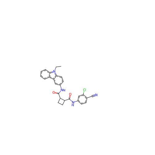 CCn1c2ccccc2c2cc(NC(=O)C3CCC3C(=O)Nc3ccc(C#N)c(Cl)c3)ccc21